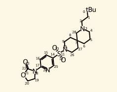 CC(C)(C)CCN1CCCC2(CCN(S(=O)(=O)c3ccc(N4CCOC4=O)nc3)CC2)C1